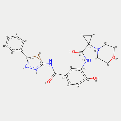 O=C(Nc1nnc(-c2ccccc2)s1)c1ccc(O)c(NC(=O)C2(N3CCOCC3)CC2)c1